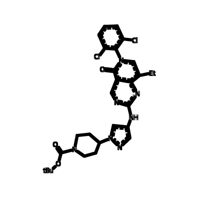 CCc1cn(-c2c(Cl)cccc2Cl)c(=O)c2cnc(Nc3cnn(C4CCN(C(=O)OC(C)(C)C)CC4)c3)nc12